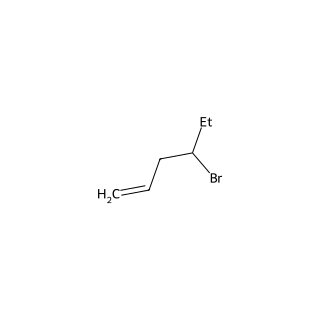 C=CCC(Br)CC